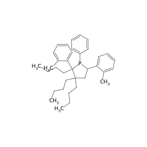 CCCCC1(CCCC)CC(c2ccccc2C)P(c2ccccc2)C1(CCCC)c1ccccc1C